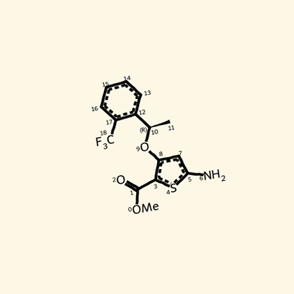 COC(=O)c1sc(N)cc1O[C@H](C)c1ccccc1C(F)(F)F